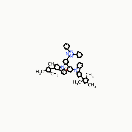 Cc1cc(C)c(-c2ccc3c(c2)c2ccccc2n3-c2ccc(C(F)(F)F)c(-c3cc(-c4nc(-c5ccccc5)nc(-c5ccccc5)n4)ccc3-n3c4ccccc4c4cc(-c5c(C)cc(C)cc5C)ccc43)c2)c(C)c1